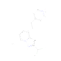 COc1ccc(CCc2cc[n+]([O-])cc2)c2cc(C(F)F)nn12